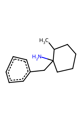 CC1CCCCC1(N)Cc1ccccc1